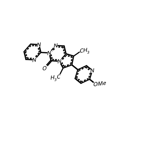 COc1ccc(-c2c(C)c3cnn(-c4ncccn4)c(=O)n3c2C)cn1